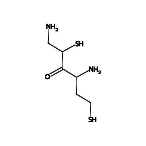 NCC(S)C(=O)C(N)CCS